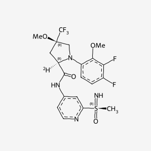 [2H][C@]1(C(=O)Nc2ccnc([S@](C)(=N)=O)c2)C[C@](OC)(C(F)(F)F)CN1c1ccc(F)c(F)c1OC